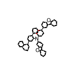 c1ccc(-c2ccc(-c3cccc4ccccc34)cc2N(c2ccc(-c3ccc4oc5ccccc5c4c3)cc2)c2ccc3c(c2)oc2ccccc23)cc1